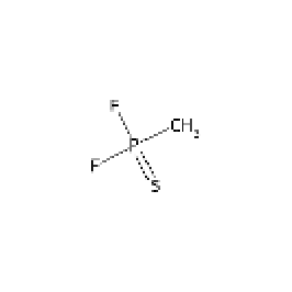 CP(F)(F)=S